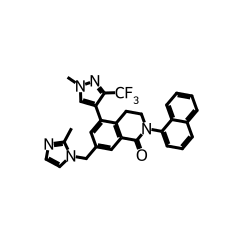 Cc1nccn1Cc1cc2c(c(-c3cn(C)nc3C(F)(F)F)c1)CCN(c1cccc3ccccc13)C2=O